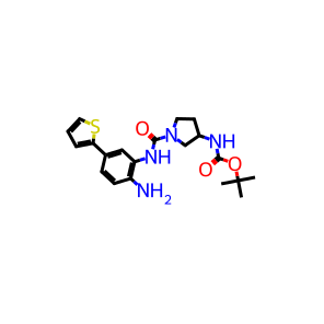 CC(C)(C)OC(=O)NC1CCN(C(=O)Nc2cc(-c3cccs3)ccc2N)C1